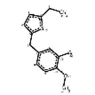 CCc1ccc(Cc2ccc(OC)c(Br)c2)s1